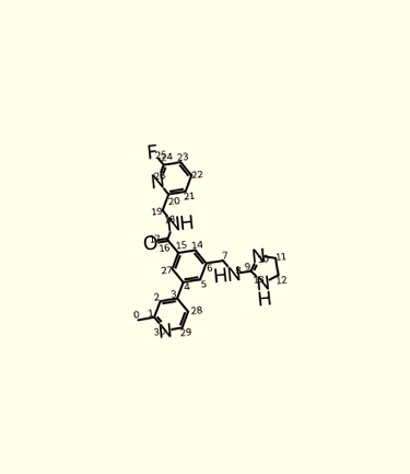 Cc1cc(-c2cc(CNC3=NCCN3)cc(C(=O)NCc3cccc(F)n3)c2)ccn1